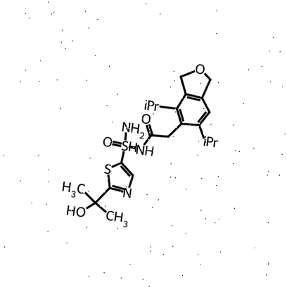 CC(C)c1cc2c(c(C(C)C)c1CC(=O)N[SH](N)(=O)c1cnc(C(C)(C)O)s1)COC2